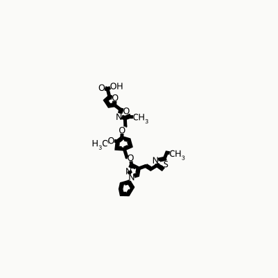 CCc1nc(C=Cc2cn(-c3ccccc3)nc2OCc2ccc(OCc3nc(-c4ccc(C(=O)O)o4)oc3C)c(OC)c2)cs1